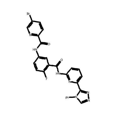 CC(C)n1cnnc1-c1cccc(NC(=O)c2cc(NC(=O)c3ccc(Br)cn3)ccc2F)n1